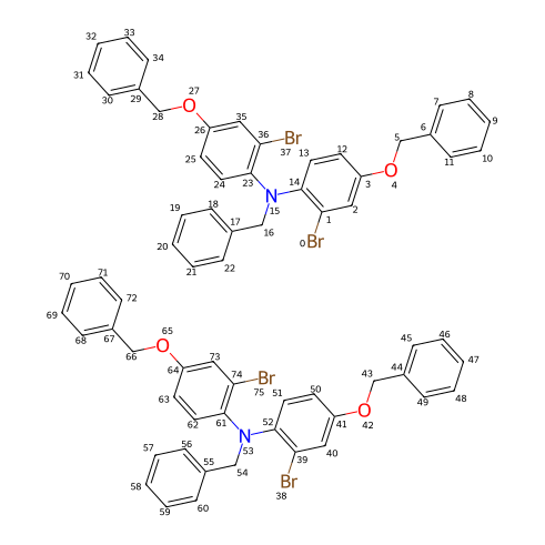 Brc1cc(OCc2ccccc2)ccc1N(Cc1ccccc1)c1ccc(OCc2ccccc2)cc1Br.Brc1cc(OCc2ccccc2)ccc1N(Cc1ccccc1)c1ccc(OCc2ccccc2)cc1Br